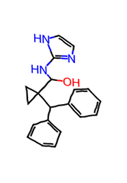 OC(Nc1ncc[nH]1)C1(C(c2ccccc2)c2ccccc2)CC1